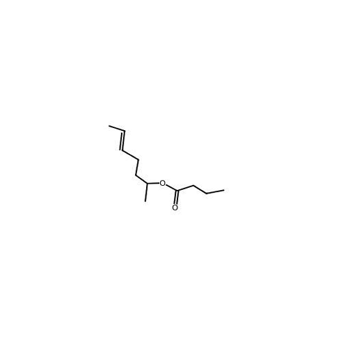 CC=CCCC(C)OC(=O)CCC